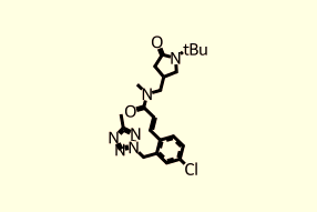 Cc1nnn(Cc2cc(Cl)ccc2C=CC(=O)N(C)CC2CC(=O)N(C(C)(C)C)C2)n1